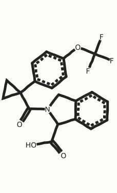 O=C(O)C1c2ccccc2CN1C(=O)C1(c2ccc(OC(F)(F)F)cc2)CC1